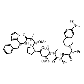 CC[C@H](C)[C@@H]([C@@H](CC(=O)N1CCC[C@H]1[C@H](OC)[C@@H](C)C(=O)N[C@@H](Cc1ccccc1)c1nccs1)OC)N(C)C(=O)[C@@H](NC(=O)[C@H](C(C)C)N(C)CCc1ccc(N(C)C(C)C)cc1)C(C)C